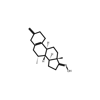 C=C1CCC2=C(C1)C[C@@H](C)[C@@H]1[C@@H]2CC[C@]2(C)/C(=N/O)CC[C@@H]12